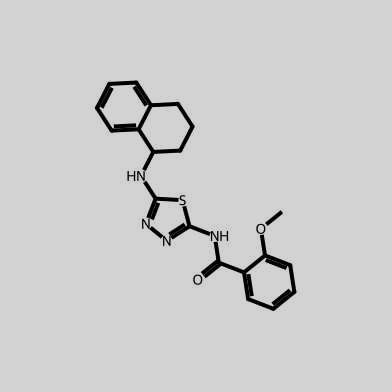 COc1ccccc1C(=O)Nc1nnc(NC2CCCc3ccccc32)s1